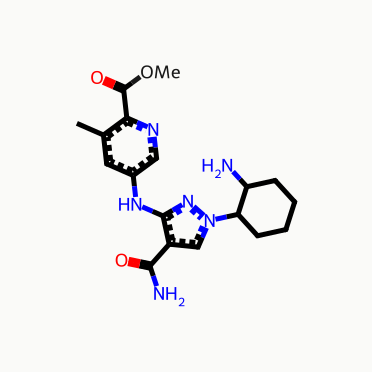 COC(=O)c1ncc(Nc2nn(C3CCCCC3N)cc2C(N)=O)cc1C